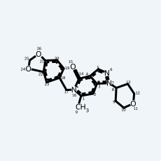 Cc1cc2c(cnn2C2CCOCC2)c(=O)n1Cc1ccc2c(c1)OCO2